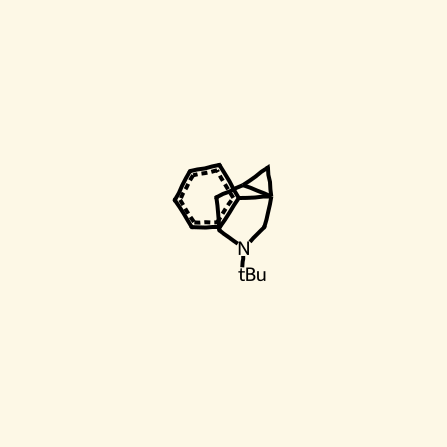 CC(C)(C)N1CCC2CC2(c2ccccc2)C1